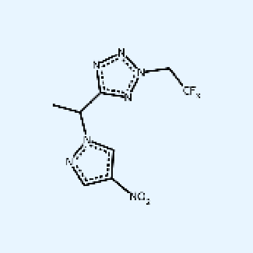 CC(c1nnn(CC(F)(F)F)n1)n1cc([N+](=O)[O-])cn1